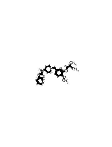 COc1ccc(CN2CCC(Nc3nc4cccnc4s3)CC2)cc1OCC(C)C